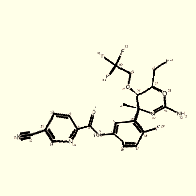 C[C@]1(c2cc(NC(=O)c3ccc(C#N)cn3)ccc2F)N=C(N)O[C@H](CF)[C@@H]1OCC(F)(F)F